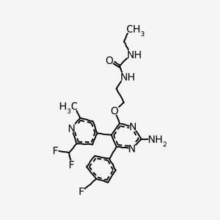 CCNC(=O)NCCOc1nc(N)nc(-c2ccc(F)cc2)c1-c1cc(C)nc(C(F)F)c1